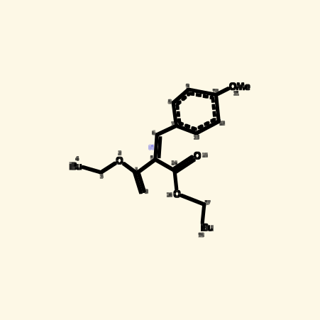 C=C(OCC(C)CC)/C(=C/c1ccc(OC)cc1)C(=O)OCC(C)CC